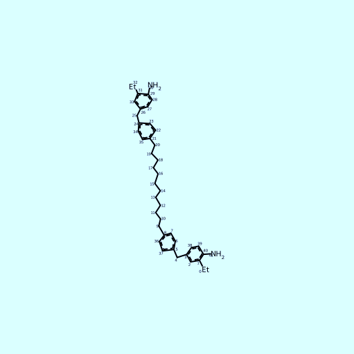 CCc1cc(Cc2ccc(CCCCCCCCCCCCc3ccc(Cc4ccc(N)c(CC)c4)cc3)cc2)ccc1N